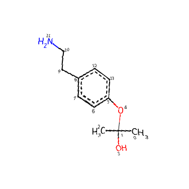 CC(C)(O)Oc1ccc(CCN)cc1